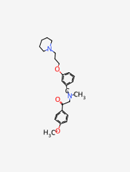 COc1ccc(C(=O)CN(C)Cc2cccc(OCCCN3CCCCC3)c2)cc1